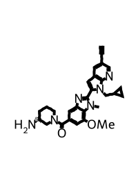 C#Cc1cnc2c(c1)cc(-c1nc3cc(C(=O)N4CCC[C@@H](N)C4)cc(OC)c3n1C)n2CC1CC1